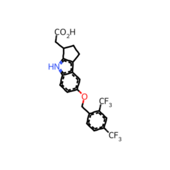 O=C(O)CC1CCc2c1[nH]c1ccc(OCc3ccc(C(F)(F)F)cc3C(F)(F)F)cc21